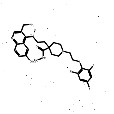 COc1ccc2ncc(CN)c([C@H](F)CCC3(C(=O)NO)CCN(CCSc4c(F)cc(F)cc4F)CC3)c2c1